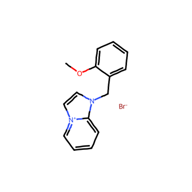 COc1ccccc1Cn1cc[n+]2ccccc12.[Br-]